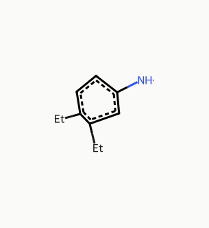 CCc1ccc([NH])cc1CC